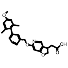 COc1cc(C)c(-c2cccc(COc3cc4c(cn3)C(CC(=O)O)CO4)c2)c(C)c1